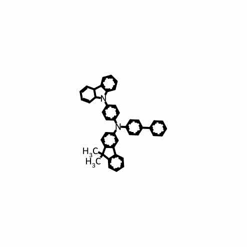 CC1(C)c2ccccc2-c2cc(N(c3ccc(-c4ccccc4)cc3)c3ccc(N4c5ccccc5C5C=CC=CC54)cc3)ccc21